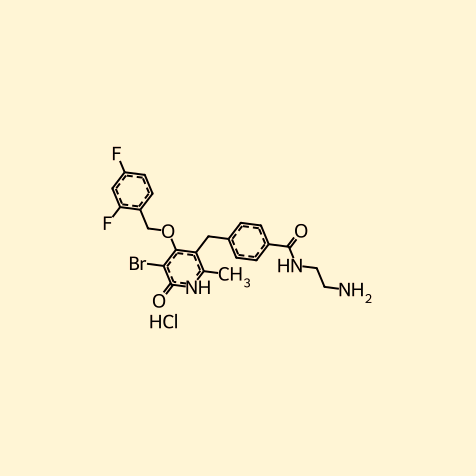 Cc1[nH]c(=O)c(Br)c(OCc2ccc(F)cc2F)c1Cc1ccc(C(=O)NCCN)cc1.Cl